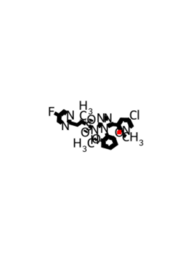 COc1cccc(OC)c1-n1c(NS(=O)(=O)[C@H](C)Cc2ncc(F)cn2)nnc1-c1cncc(Cl)c1